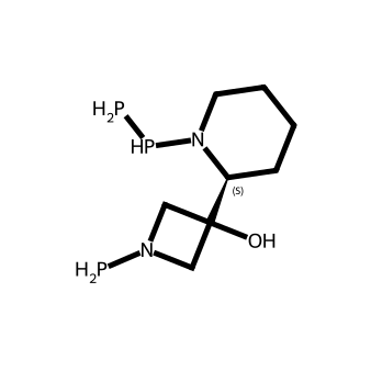 OC1([C@@H]2CCCCN2PP)CN(P)C1